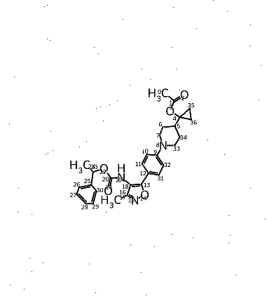 CC(=O)OC1(C2CCN(c3ccc(-c4onc(C)c4NC(=O)OC(C)c4ccccc4)cc3)CC2)CC1